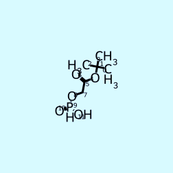 CC(C)(C)OC(=O)CO[PH](=O)O